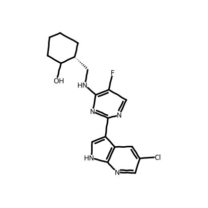 OC1CCCC[C@@H]1CNc1nc(-c2c[nH]c3ncc(Cl)cc23)ncc1F